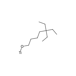 CCC(CC)(CC)CCCC[O][Ti]